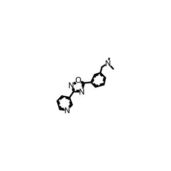 CN(C)Cc1cccc(-c2nc(-c3cccnc3)no2)c1